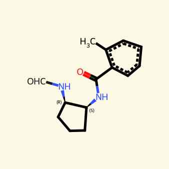 Cc1ccccc1C(=O)N[C@H]1CCC[C@H]1NC=O